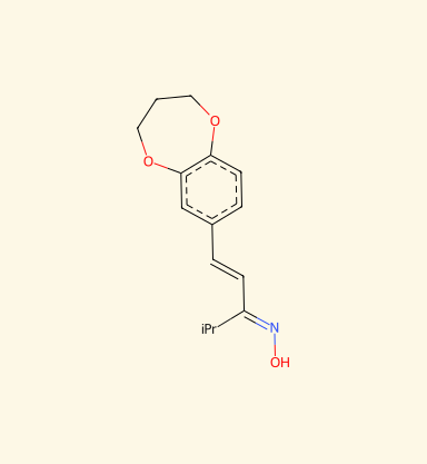 CC(C)C(/C=C/c1ccc2c(c1)OCCCO2)=N\O